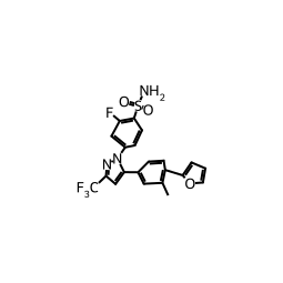 Cc1cc(-c2cc(C(F)(F)F)nn2-c2ccc(S(N)(=O)=O)c(F)c2)ccc1-c1ccco1